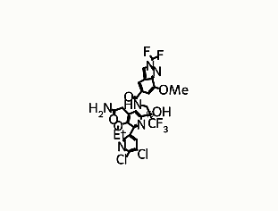 CCOc1c(CC(N)=O)cc([C@@](O)(CNC(=O)c2cc(OC)c3nn(C(F)F)cc3c2)C(F)(F)F)nc1-c1cnc(Cl)c(Cl)c1